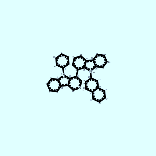 c1ccc(-n2c3ccccc3c3cncc(-c4cccc5c6ccccc6n(-c6ccc7ccccc7c6)c45)c32)cc1